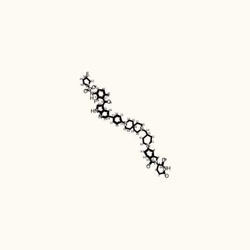 O=C1CCC(N2Cc3cc(N4CCC(CN5CCC6(CC5)CCN(c5ccc(-c7cnc8[nH]cc(C(=O)c9c(F)ccc(NS(=O)(=O)N%10CC[C@@H](F)C%10)c9F)c8c7)cc5)CC6)CC4)ccc3C2=O)C(=O)N1